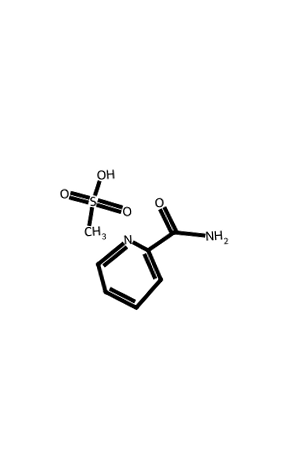 CS(=O)(=O)O.NC(=O)c1ccccn1